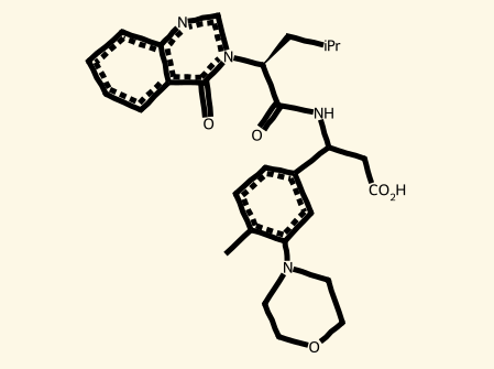 Cc1ccc(C(CC(=O)O)NC(=O)[C@H](CC(C)C)n2cnc3ccccc3c2=O)cc1N1CCOCC1